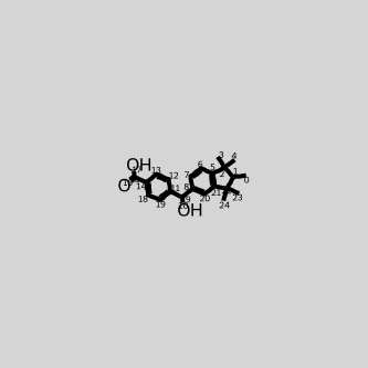 CC1C(C)(C)c2ccc(C(O)c3ccc(C(=O)O)cc3)cc2C1(C)C